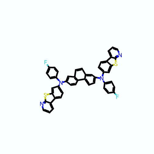 Fc1ccc(N(c2ccc3c(ccc4cc(N(c5ccc(F)cc5)c5ccc6c(c5)sc5ncccc56)ccc43)c2)c2ccc3c(c2)sc2ncccc23)cc1